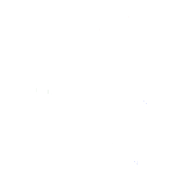 COc1cc2c(cc1OC)CCN(CCCN(C)C(C)c1cccc3ccccc13)CC2.Cl.Cl